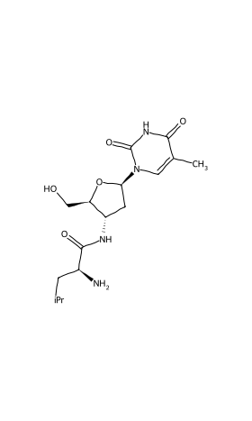 Cc1cn([C@H]2C[C@H](NC(=O)[C@@H](N)CC(C)C)[C@@H](CO)O2)c(=O)[nH]c1=O